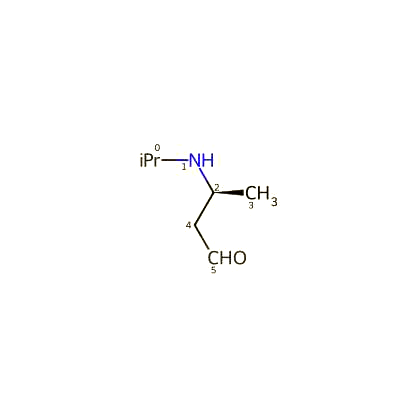 CC(C)N[C@@H](C)CC=O